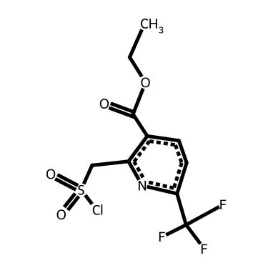 CCOC(=O)c1ccc(C(F)(F)F)nc1CS(=O)(=O)Cl